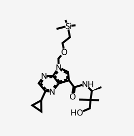 C[C@H](NC(=O)c1cn(COCC[Si](C)(C)C)c2ncc(C3CC3)nc12)C(C)(C)CO